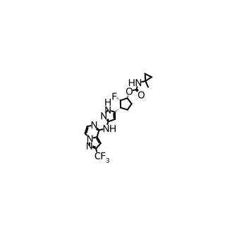 CC1(NC(=O)O[C@@H]2CC[C@H](c3cc(Nc4nccn5nc(C(F)(F)F)cc45)n[nH]3)[C@@H]2F)CC1